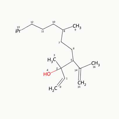 C=CC(C)(O)C(CCC(C)CCCC(C)C)C(=C)C